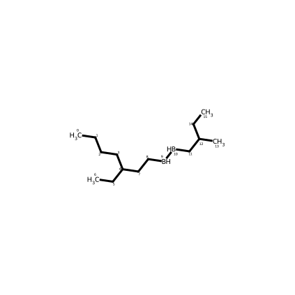 CCCCC(CC)CCBBCC(C)CC